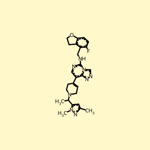 Cc1cc(C(C)N2CC=C(c3cnc(NCc4c(F)ccc5c4CCO5)n4cnnc34)CC2)n(C)n1